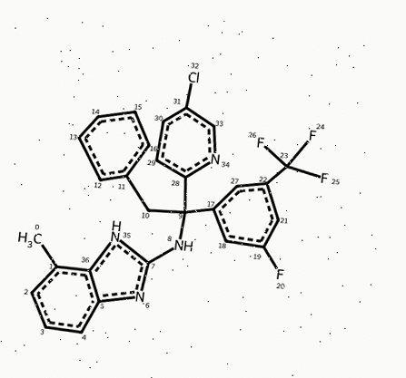 Cc1cccc2nc(NC(Cc3ccccc3)(c3cc(F)cc(C(F)(F)F)c3)c3ccc(Cl)cn3)[nH]c12